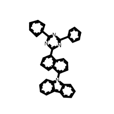 c1ccc(-c2nc(-c3ccccc3)nc(-c3cccc4c(-n5c6ccccc6c6ccccc65)cccc34)n2)cc1